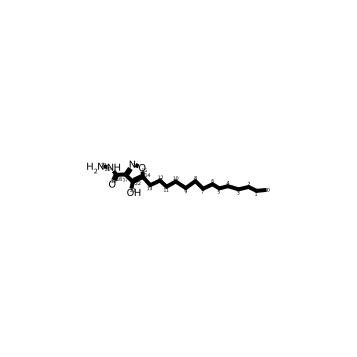 CCCCCCCCCCCCCCc1onc(C(=O)NN)c1O